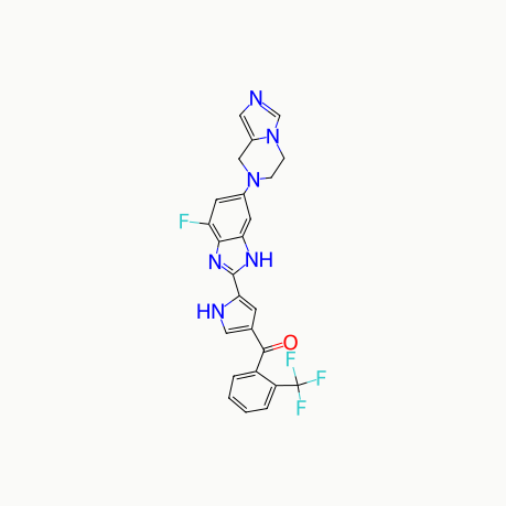 O=C(c1c[nH]c(-c2nc3c(F)cc(N4CCn5cncc5C4)cc3[nH]2)c1)c1ccccc1C(F)(F)F